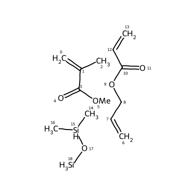 C=C(C)C(=O)OC.C=CCOC(=O)C=C.C[SiH](C)O[SiH3]